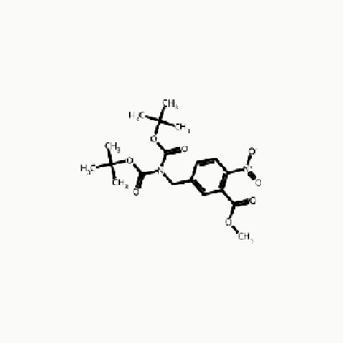 COC(=O)c1cc(CN(C(=O)OC(C)(C)C)C(=O)OC(C)(C)C)ccc1[N+](=O)[O-]